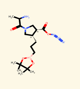 CC(N)C(=O)N1C[C@@H](CCCB2OC(C)(C)C(C)(C)O2)[C@@H](C(=O)ON=[N+]=[N-])C1